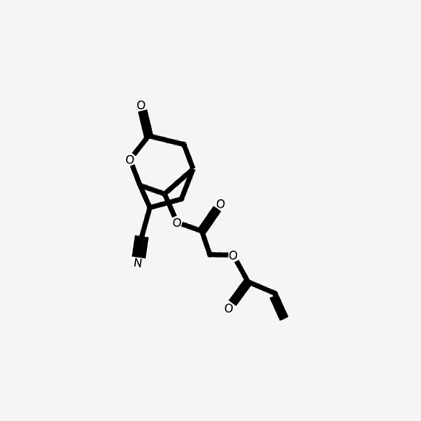 C=CC(=O)OCC(=O)OC1C2CC(=O)OC1C(C#N)C2